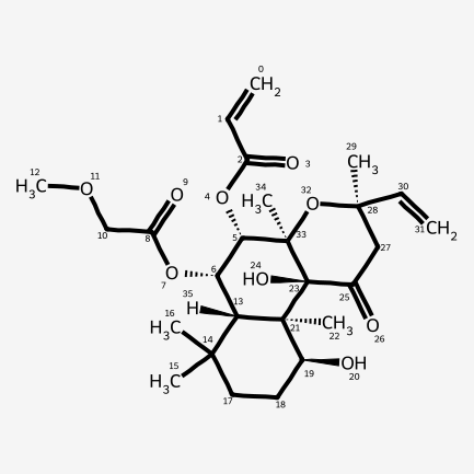 C=CC(=O)O[C@H]1[C@@H](OC(=O)COC)[C@H]2C(C)(C)CC[C@H](O)[C@]2(C)[C@@]2(O)C(=O)C[C@](C)(C=C)O[C@]12C